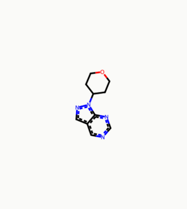 c1ncc2cnn(C3CCOCC3)c2n1